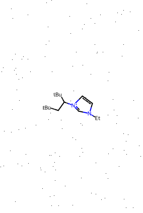 CCn1cc[n+](C(CC(C)(C)C)C(C)(C)C)c1